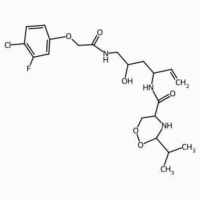 C=CC(CC(O)CNC(=O)COc1ccc(Cl)c(F)c1)NC(=O)C1COOC(C(C)C)N1